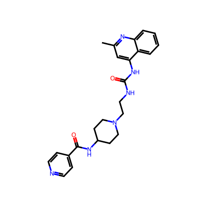 Cc1cc(NC(=O)NCCN2CCC(NC(=O)c3ccncc3)CC2)c2ccccc2n1